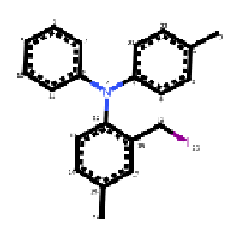 Cc1ccc(N(c2ccccc2)c2ccc(C)cc2CI)cc1